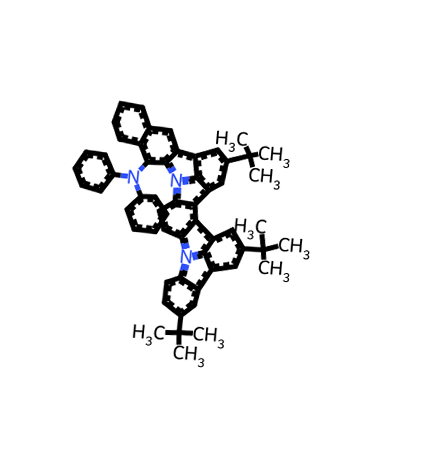 CC(C)(C)c1ccc2c(c1)c1cc(C(C)(C)C)cc3c4c5c6cc(C(C)(C)C)cc7c8cc9ccccc9c(N(c9ccccc9)c9ccccc9)c8n(c5ccc4n2c13)c76